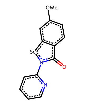 COc1ccc2c(=O)n(-c3ccccn3)[se]c2c1